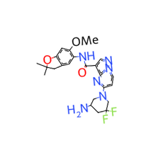 COc1cc2c(cc1NC(=O)c1cnn3ccc(N4CC(N)CC(F)(F)C4)nc13)CC(C)(C)O2